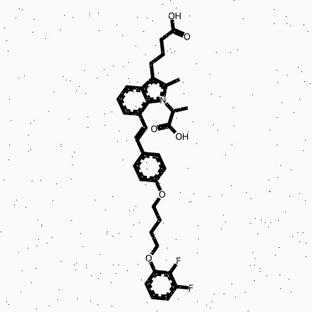 Cc1c(CCCC(=O)O)c2cccc(/C=C/c3ccc(OCCCCOc4cccc(F)c4F)cc3)c2n1C(C)C(=O)O